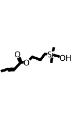 CC=CC(=O)OCCC[Si](C)(C)O